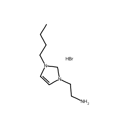 Br.CCCCN1C=CN(CCN)C1